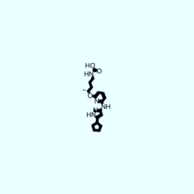 C[C@H](CCCNC(=O)O)Oc1cccc(Nc2cc(C3CCCC3)[nH]n2)n1